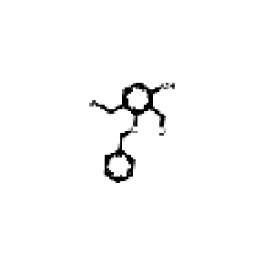 CC(C)Cc1ccc(O)c(CO)c1OCc1ccccc1